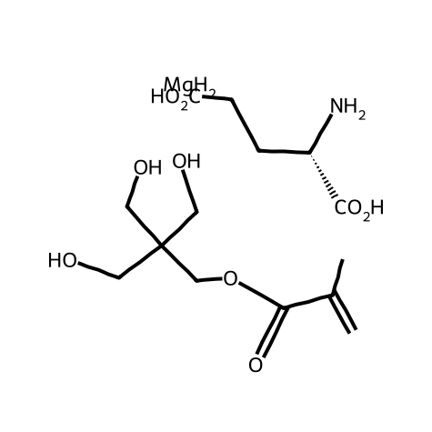 C=C(C)C(=O)OCC(CO)(CO)CO.N[C@@H](CCC(=O)O)C(=O)O.[MgH2]